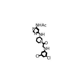 CC(=O)Nc1cc(N[C@H]2CCCN(C(=O)CNc3cc(Cl)cc(Cl)c3)C2)ncn1